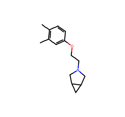 Cc1ccc(OCCN2CC3CC3C2)cc1C